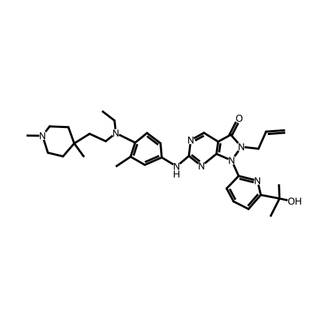 C=CCn1c(=O)c2cnc(Nc3ccc(N(CC)CCC4(C)CCN(C)CC4)c(C)c3)nc2n1-c1cccc(C(C)(C)O)n1